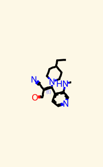 CCC1CCN(/C(=C(\C#N)C=O)c2ccncc2NC)CC1